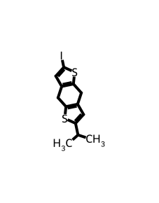 CC(C)c1cc2c(s1)Cc1cc(I)sc1C2